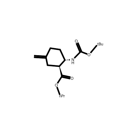 C=C1CC[C@H](NC(=O)OC(C)(C)C)[C@@H](C(=O)OCCC)C1